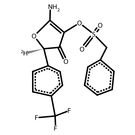 [2H][C@]1(c2ccc(C(F)(F)F)cc2)OC(N)=C(OS(=O)(=O)Cc2ccccc2)C1=O